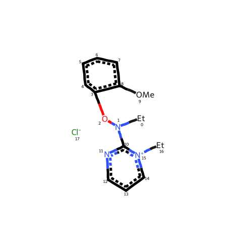 CCN(Oc1ccccc1OC)c1nccc[n+]1CC.[Cl-]